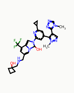 Cn1cnnc1-c1cnn(C)c1-c1cc(C2CC2)nc(N2C=C3C(C(F)(F)F)=CC(CNCC4(O)CCC4)=CN3C2O)c1